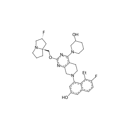 CCc1c(F)ccc2cc(O)cc(N3CCc4c(nc(OC[C@@]56CCCN5C[C@H](F)C6)nc4N4CCCC(O)C4)C3)c12